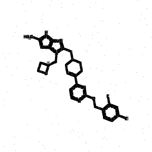 O=C(O)c1cc2c(nc(CN3CC=C(c4ccnc(OCc5ccc(Cl)cc5F)n4)CC3)n2C[C@@H]2CCO2)[nH]1